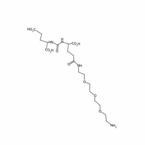 NCCOCCOCCOCCNC(=O)CCC(NC(=O)NC(CCC(=O)O)C(=O)O)C(=O)O